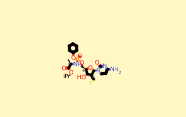 CC(C)OC(=O)[C@@H](C)NP(=O)(OC[C@H]1O[C@@H](n2ccc(N)nc2=O)/C(=C/F)[C@@H]1O)Oc1ccccc1